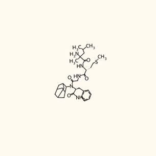 CSCC[C@@H](NC(=O)C(C)(N)CC(C)C)C(=O)NCC(=O)N(C1C2CC3CC(C2)CC1C3)[C@@H](Cc1ccccc1)C(N)=O